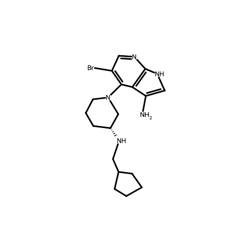 Nc1c[nH]c2ncc(Br)c(N3CCC[C@@H](NCC4CCCC4)C3)c12